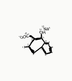 O=C([O-])c1c(I)cc2ccccc2c1O.[Na+]